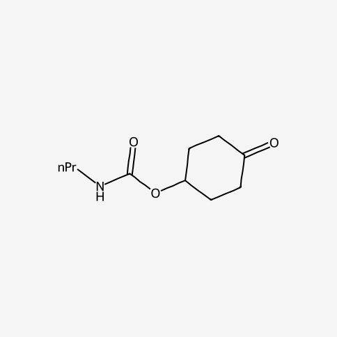 CCCNC(=O)OC1CCC(=O)CC1